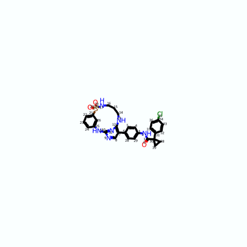 O=C(Nc1ccc(-c2cnc3nc2NCCCNS(=O)(=O)c2cccc(c2)N3)cc1)C1(c2ccc(Cl)cc2)CC1